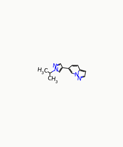 CC(C)n1cc(-c2ccc3ccnn3c2)cn1